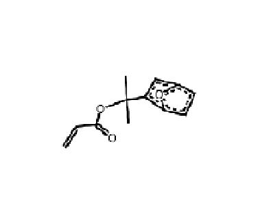 C=CC(=O)OC(C)(C)c1cc2ccc1o2